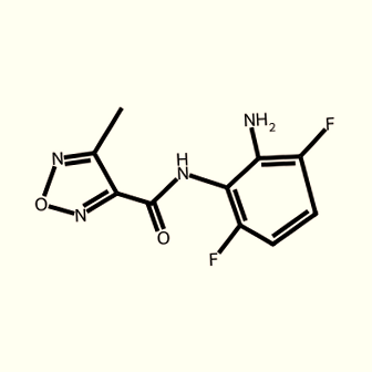 Cc1nonc1C(=O)Nc1c(F)ccc(F)c1N